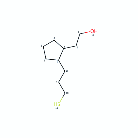 OCCC1CCCC1CCCS